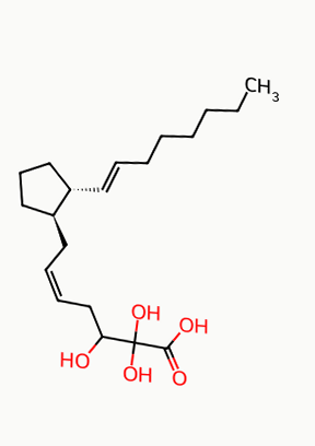 CCCCCC/C=C/[C@H]1CCC[C@@H]1C/C=C\CC(O)C(O)(O)C(=O)O